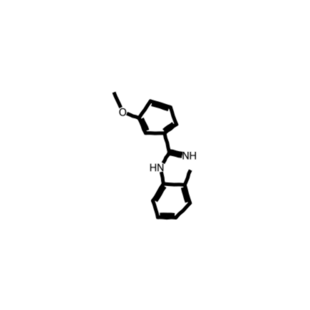 COc1cccc(C(=N)Nc2ccccc2C)c1